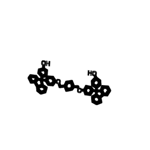 Oc1ccc(C2(c3ccc(OCc4ccc(COc5ccc(C6(c7ccc(O)cc7)c7ccccc7-c7ccccc76)cc5)cc4)cc3)c3ccccc3-c3ccccc32)cc1